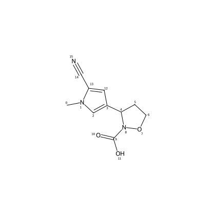 Cn1cc(C2CCON2C(=O)O)cc1C#N